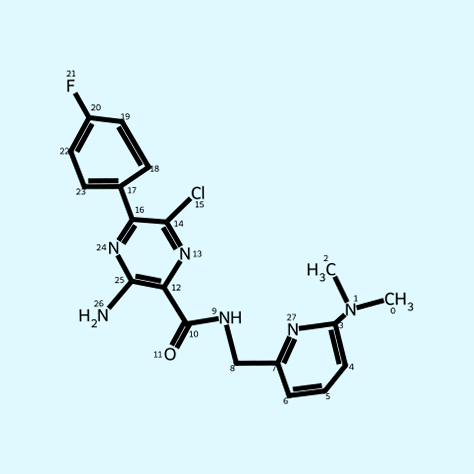 CN(C)c1cccc(CNC(=O)c2nc(Cl)c(-c3ccc(F)cc3)nc2N)n1